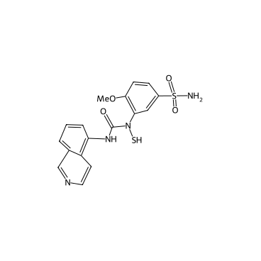 COc1ccc(S(N)(=O)=O)cc1N(S)C(=O)Nc1cccc2cnccc12